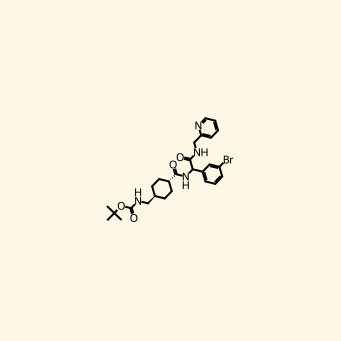 CC(C)(C)OC(=O)NC[C@H]1CC[C@H](C(=O)NC(C(=O)NCc2ccccn2)c2cccc(Br)c2)CC1